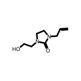 C=CCN1CCN(CCO)C1=O